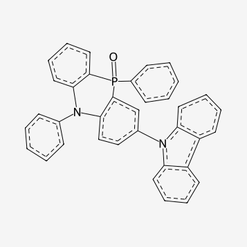 O=P1(c2ccccc2)c2ccccc2N(c2ccccc2)c2ccc(-n3c4ccccc4c4ccccc43)cc21